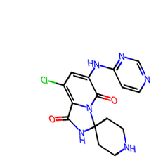 O=C1NC2(CCNCC2)n2c1c(Cl)cc(Nc1ccncn1)c2=O